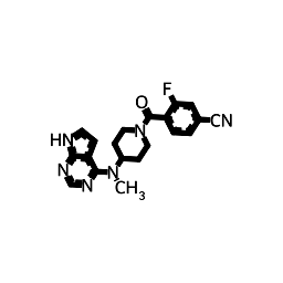 CN(c1ncnc2[nH]ccc12)C1CCN(C(=O)c2ccc(C#N)cc2F)CC1